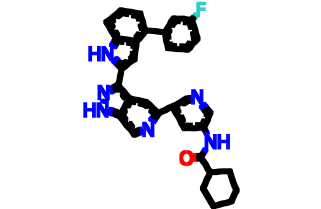 O=C(Nc1cncc(-c2cc3c(-c4cc5c(-c6cccc(F)c6)cccc5[nH]4)n[nH]c3cn2)c1)C1CCCCC1